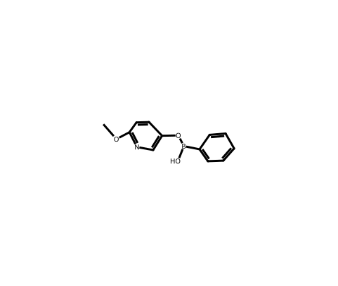 COc1ccc(OB(O)c2ccccc2)cn1